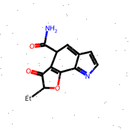 CCC1OC2=C(C1=O)C(C(N)=O)C=C1C=CN=C12